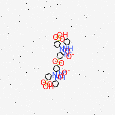 O=[N+]([O-])c1cc(S(=O)(=O)c2ccc(N(Nc3ccccc3)c3cccc(S(=O)(=O)O)c3)c([N+](=O)[O-])c2)ccc1N(Nc1ccccc1)c1cccc(S(=O)(=O)O)c1